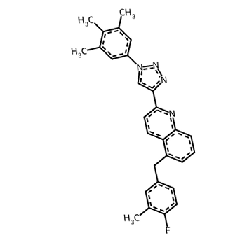 Cc1cc(Cc2cccc3nc(-c4cn(-c5cc(C)c(C)c(C)c5)nn4)ccc23)ccc1F